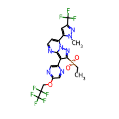 CCS(=O)(=O)c1nn2c(-c3cc(C(F)(F)F)nn3C)ccnc2c1-c1cnc(OCC(F)(F)C(F)(F)F)cn1